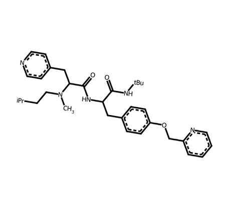 CC(C)CCN(C)C(Cc1ccncc1)C(=O)NC(Cc1ccc(OCc2ccccn2)cc1)C(=O)NC(C)(C)C